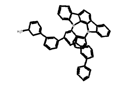 CC1C=CC=C(c2cccc(-c3cc(-c4cccc(-c5ccccc5)c4)cc(-n4c5ccccc5c5ccc6c7ccccc7n(-c7ccccc7)c6c54)c3)c2)C1